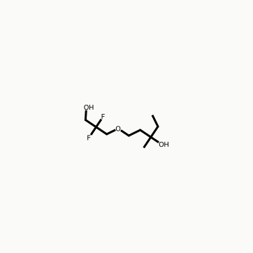 CCC(C)(O)CCOCC(F)(F)CO